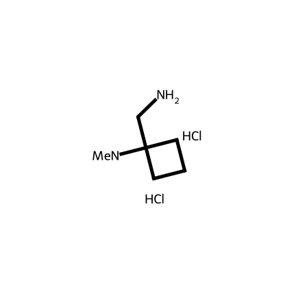 CNC1(CN)CCC1.Cl.Cl